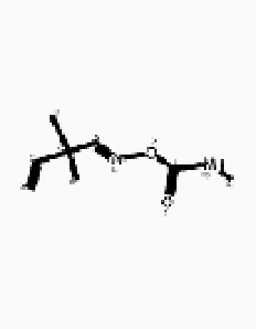 C=CC(C)(C)/C=N/OC(=O)NC